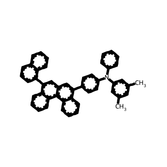 Cc1cc(C)cc(N(c2ccccc2)c2ccc(-c3cc4cc(-c5cccc6ccccc56)c5ccccc5c4c4ccccc34)cc2)c1